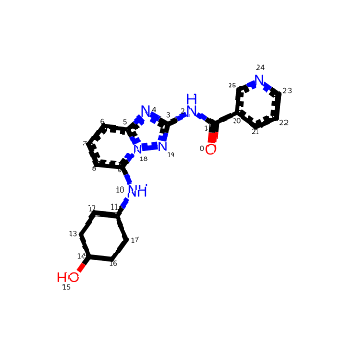 O=C(Nc1nc2cccc(NC3CCC(O)CC3)n2n1)c1cccnc1